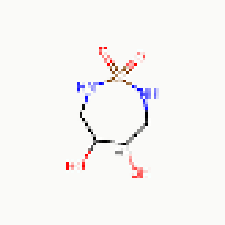 O=S1(=O)NCC(O)[C@@H](O)CN1